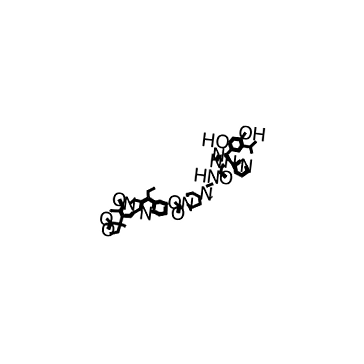 CCc1c2c(nc3ccc(OC(=O)N4CCC(N(C)CCNC(=O)c5nnc(-c6cc(C(C)C)c(O)cc6O)n5-c5cccnc5)CC4)cc13)-c1cc3c(c(=O)n1C2)COC(=O)C3(C)CC